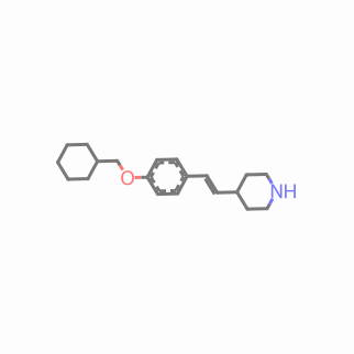 C(=CC1CCNCC1)c1ccc(OCC2CCCCC2)cc1